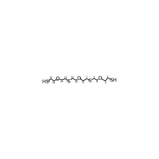 SCCOCCSCCOCCSCCOCCS